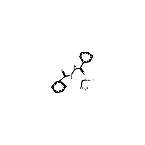 O=C(NNC(=O)c1ccccc1)c1ccccc1.O=C(O)CC(=O)O